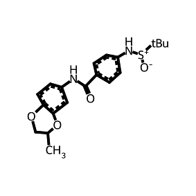 CC1COc2ccc(NC(=O)c3ccc(N[S+]([O-])C(C)(C)C)cc3)cc2O1